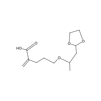 C=C(CCCOC(C)CC1OCCO1)C(=O)O